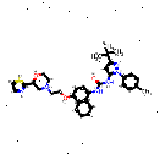 Cc1ccc(-n2nc(C(C)(C)C)cc2NC(=O)Nc2ccc(OCCN3CCOC(c4nccs4)C3)c3ccccc23)cc1